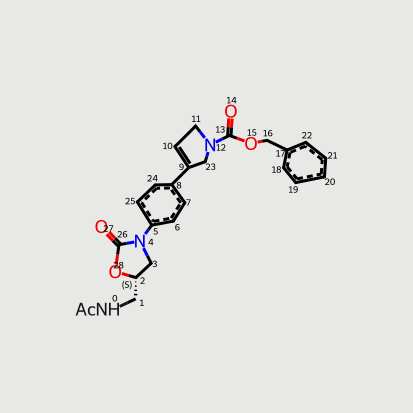 CC(=O)NC[C@H]1CN(c2ccc(C3=CCN(C(=O)OCc4ccccc4)C3)cc2)C(=O)O1